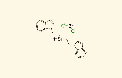 C1=CC(CC[SiH]CCC2C=Cc3ccccc32)c2ccccc21.[Cl][Zr][Cl]